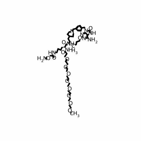 CCCCOc1nc(N)c2[nH]c(=O)n(Cc3ccc(CN4CCC(CCNC(=O)[C@H](CCCCNC(=O)CON)NC(=O)CCOCCOCCOCCOCCOCCOCCOCCOC)CC4)cc3)c2n1